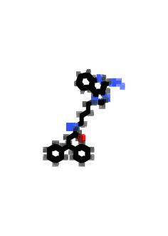 Nc1nc2ccccc2c2c1ncn2CCCCNC(=O)CC(c1ccccc1)c1ccccc1